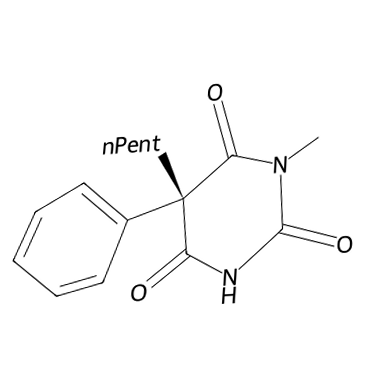 CCCCC[C@]1(c2ccccc2)C(=O)NC(=O)N(C)C1=O